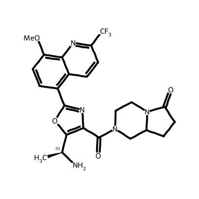 COc1ccc(-c2nc(C(=O)N3CCN4C(=O)CCC4C3)c([C@H](C)N)o2)c2ccc(C(F)(F)F)nc12